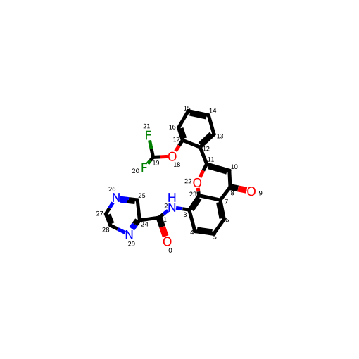 O=C(Nc1cccc2c(=O)cc(-c3ccccc3OC(F)F)oc12)c1cnccn1